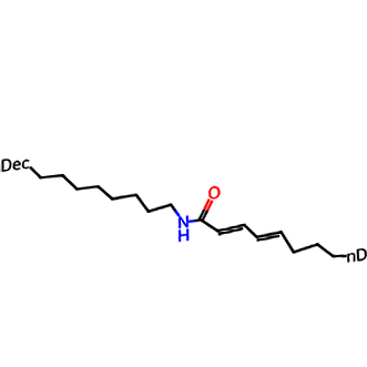 CCCCCCCCCCCCCC=CC=CC(=O)NCCCCCCCCCCCCCCCCCC